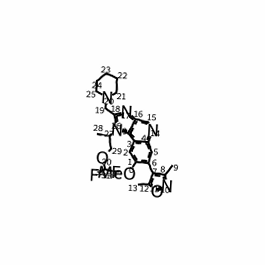 COc1cc2c(cc1-c1c(C)noc1C)ncc1nc(CN3CCCCC3)n([C@H](C)COC(F)F)c12